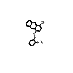 O=[N+]([O-])c1ccccc1N=Nc1ccc(O)c2cc3ccccc3cc12